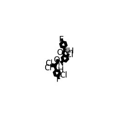 O=C(Nc1ccc(F)cc1)c1cc(NC(=O)C2C(c3ccc(F)c(Cl)c3)C2(Cl)Cl)ccc1Cl